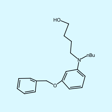 CCCCN(CCCCO)c1cccc(OCc2ccccc2)c1